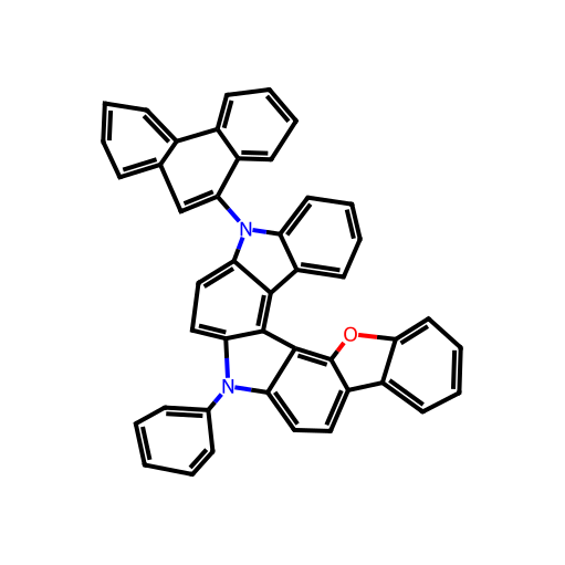 c1ccc(-n2c3ccc4c5ccccc5oc4c3c3c4c5ccccc5n(-c5cc6ccccc6c6ccccc56)c4ccc32)cc1